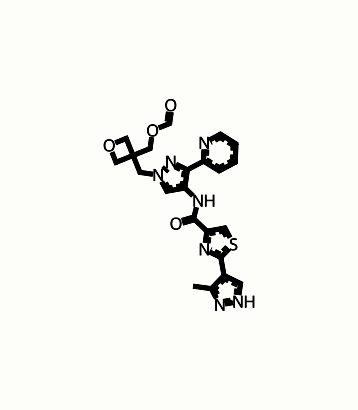 Cc1n[nH]cc1-c1nc(C(=O)Nc2cn(CC3(COC=O)COC3)nc2-c2ccccn2)cs1